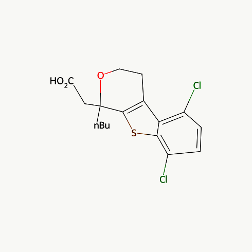 CCCCC1(CC(=O)O)OCCc2c1sc1c(Cl)ccc(Cl)c21